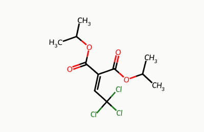 CC(C)OC(=O)C(=CC(Cl)(Cl)Cl)C(=O)OC(C)C